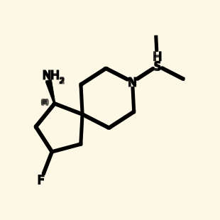 C[SH](C)N1CCC2(CC1)CC(F)C[C@H]2N